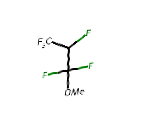 COC(F)(F)C(F)C(F)(F)F